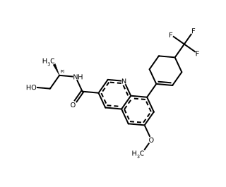 COc1cc(C2=CCC(C(F)(F)F)CC2)c2ncc(C(=O)N[C@H](C)CO)cc2c1